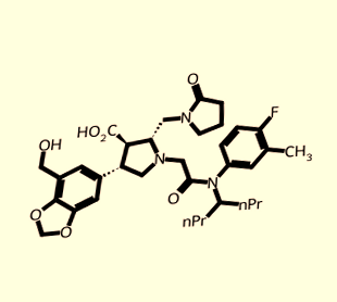 CCCC(CCC)N(C(=O)CN1C[C@H](c2cc(CO)c3c(c2)OCO3)[C@@H](C(=O)O)[C@@H]1CN1CCCC1=O)c1ccc(F)c(C)c1